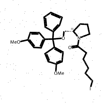 COc1ccc(C(OC[C@@H]2CCCN2C(=O)CCCCCI)(c2ccccc2)c2ccc(OC)cc2)cc1